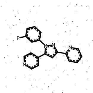 Fc1cccc(-n2nc(-c3ccccn3)cc2-c2ccncc2)c1